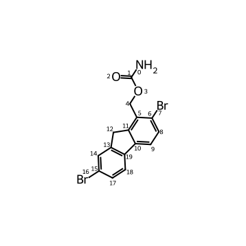 NC(=O)OCc1c(Br)ccc2c1Cc1cc(Br)ccc1-2